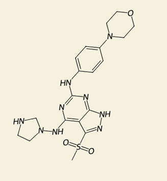 CS(=O)(=O)c1n[nH]c2nc(Nc3ccc(N4CCOCC4)cc3)nc(NN3CCNC3)c12